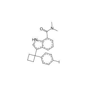 CN(C)C(=O)c1cccc2c(C3(c4ccc(I)cc4)CCC3)c[nH]c12